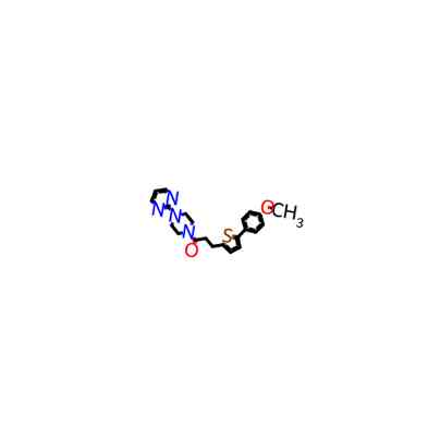 COc1ccc(-c2ccc(CCC(=O)N3CCN(c4ncccn4)CC3)s2)cc1